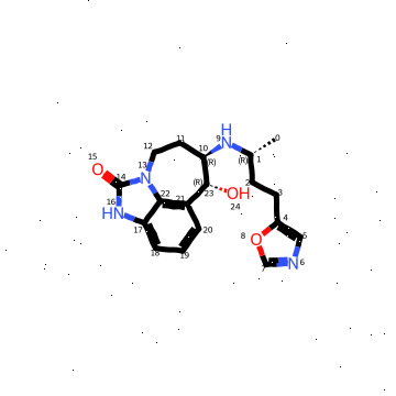 C[C@H](CCc1cnco1)N[C@@H]1CCn2c(=O)[nH]c3cccc(c32)[C@H]1O